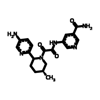 C[C@H]1CCC(c2ccc(N)cn2)N(C(=O)C(=O)Nc2cncc(C(N)=O)c2)C1